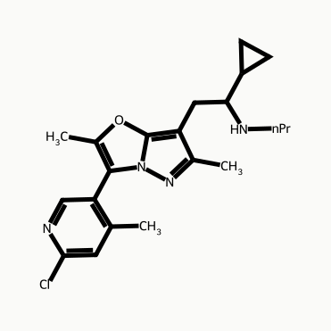 CCCNC(Cc1c(C)nn2c(-c3cnc(Cl)cc3C)c(C)oc12)C1CC1